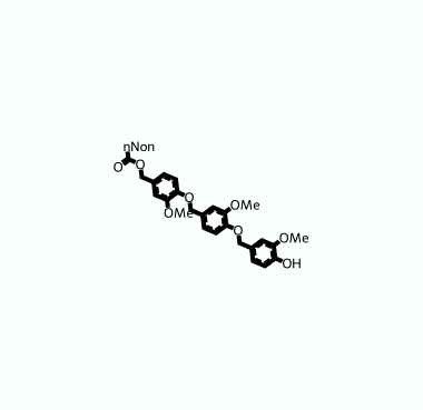 CCCCCCCCCC(=O)OCc1ccc(OCc2ccc(OCc3ccc(O)c(OC)c3)c(OC)c2)c(OC)c1